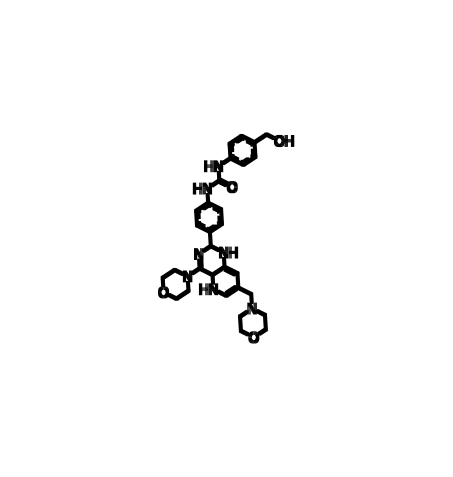 O=C(Nc1ccc(CO)cc1)Nc1ccc(C2N=C(N3CCOCC3)C3NC=C(CN4CCOCC4)C=C3N2)cc1